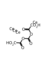 O=C(OC(=O)C(=O)O)OC(=O)C(=O)O.[Ce].[Ce].[Ce].[Ce]